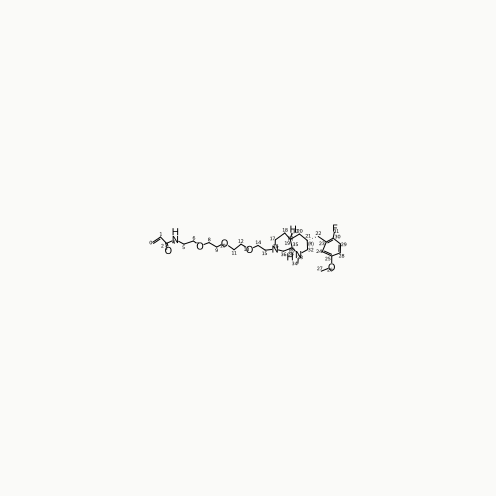 C=CC(=O)NCCOCCOCCOCCN1CC[C@@H]2C[C@H](Cc3cc(OC)ccc3F)CN(C)[C@H]2C1